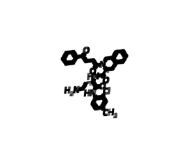 Cc1ccc(NC(=O)[C@H](CCN)NC(=O)[C@@H]2Cc3ccccc3CN2C(=O)CCC(=O)c2ccccc2)c(Cl)c1